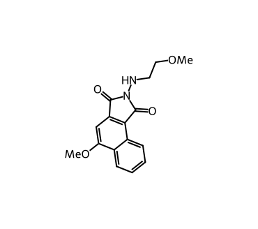 COCCNN1C(=O)c2cc(OC)c3ccccc3c2C1=O